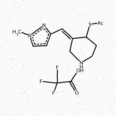 CC(=O)SC1CCNCC1=Cc1ccn(C)n1.O=C(O)C(F)(F)F